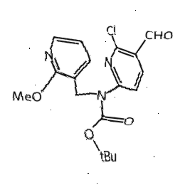 COc1ncccc1CN(C(=O)OC(C)(C)C)c1ccc(C=O)c(Cl)n1